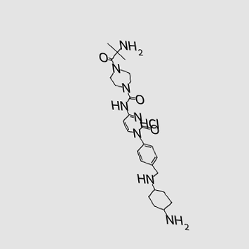 CC(C)(N)C(=O)N1CCN(C(=O)Nc2ccn(-c3ccc(CNC4CCC(N)CC4)cc3)c(=O)n2)CC1.Cl